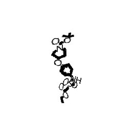 CCOC(=O)CS(=O)(=O)Nc1ccc(OC2CCN(C(=O)OC(C)(C)C)CC2)cc1